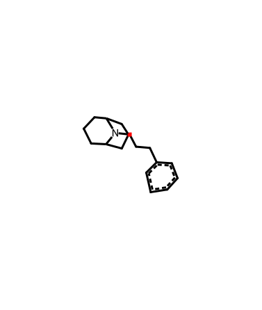 c1ccc(CCCN2C3CCCC2CCC3)cc1